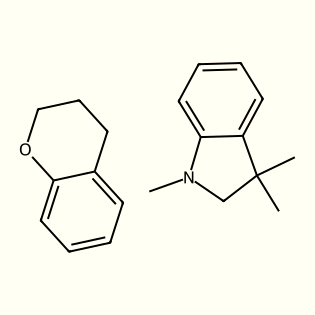 CN1CC(C)(C)c2ccccc21.c1ccc2c(c1)CCCO2